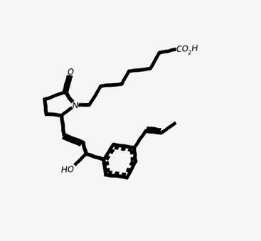 CC=Cc1cccc(C(O)C=CC2CCC(=O)N2CCCCCCC(=O)O)c1